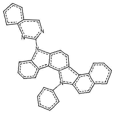 c1ccc(-n2c3ccc4ccccc4c3c3ccc4c(c5ccccc5n4-c4ncc5ccccc5n4)c32)cc1